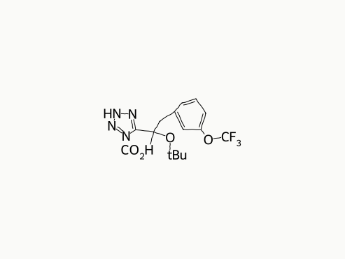 CC(C)(C)OC(Cc1cccc(OC(F)(F)F)c1)(C(=O)O)c1nn[nH]n1